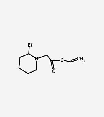 C=CCC(=O)CN1CCCCC1CC